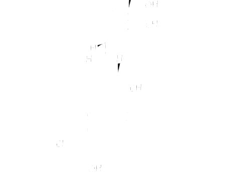 C[C@]12CCC(O)C(Cl)=C1CC[C@@H]1[C@@H]2CC[C@@]2(C)[C@H]1CC[C@]2(C)O